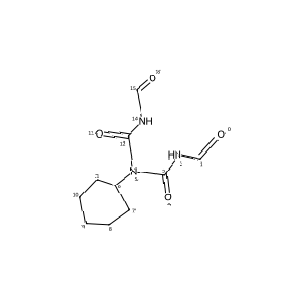 O=CNC(=O)N([C]1CCCCC1)C(=O)NC=O